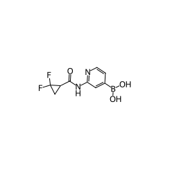 O=C(Nc1cc(B(O)O)ccn1)C1CC1(F)F